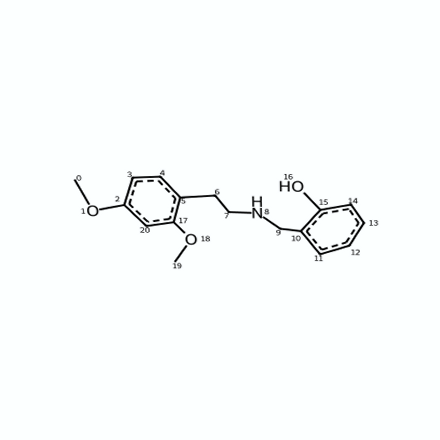 COc1ccc(CCNCc2ccccc2O)c(OC)c1